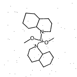 CO[Si](OC)(N1CCCC2CCCCC21)N1CCCC2CCCCC21